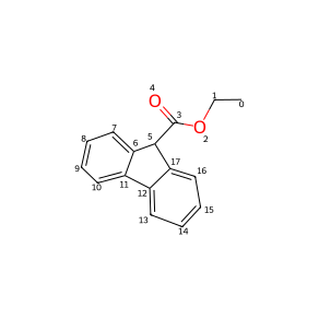 CCOC(=O)C1c2ccccc2-c2ccccc21